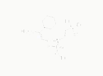 CCOP(=O)(O)OCC[N+](CC)(CC)CC.O=C([O-])/C=C(/C(=O)O)C1CCCCC1